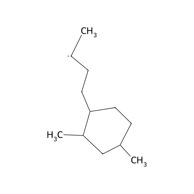 C[CH]CCC1CCC(C)CC1C